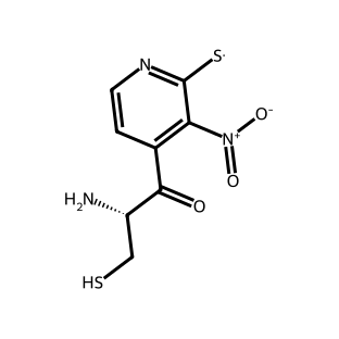 N[C@@H](CS)C(=O)c1ccnc([S])c1[N+](=O)[O-]